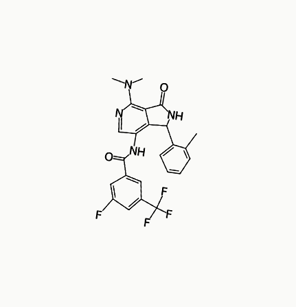 Cc1ccccc1C1NC(=O)c2c(N(C)C)ncc(NC(=O)c3cc(F)cc(C(F)(F)F)c3)c21